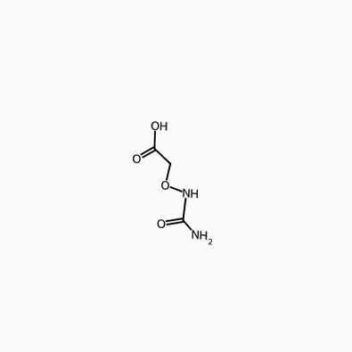 NC(=O)NOCC(=O)O